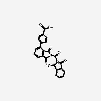 O=C(O)c1ccc(-c2cccc3c2C(=O)N(C(=O)N2C(=O)c4ccccc4C2=O)C3=O)cc1